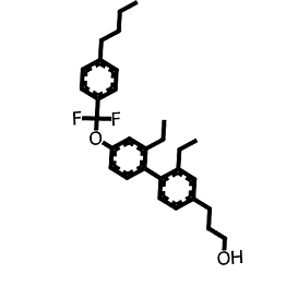 CCCCc1ccc(C(F)(F)Oc2ccc(-c3ccc(CCCO)cc3CC)c(CC)c2)cc1